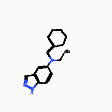 CC(C)(C)CN(CC1CCCCC1)c1ccc2[nH]ncc2c1